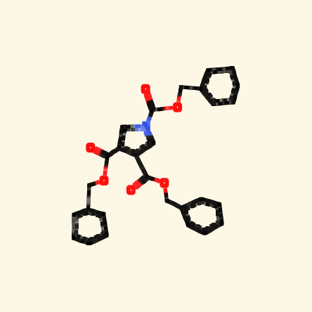 O=C(OCc1ccccc1)c1cn(C(=O)OCc2ccccc2)cc1C(=O)OCc1ccccc1